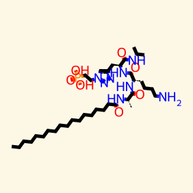 CCCCCCCCCCCCCCCCCC(=O)N[C@@H](C)C(=O)N[C@@H](CCCCN)C(=O)N[C@@H](Cc1cn(CCP(=O)(O)O)nn1)C(=O)NC(C)C